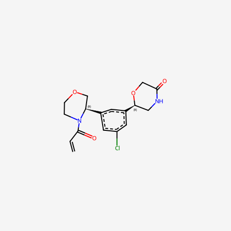 C=CC(=O)N1CCOC[C@H]1c1cc(Cl)cc([C@@H]2CNC(=O)CO2)c1